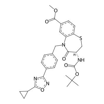 COC(=O)c1ccc2c(c1)N(Cc1ccc(-c3noc(C4CC4)n3)cc1)C(=O)[C@@H](NC(=O)OC(C)(C)C)CS2